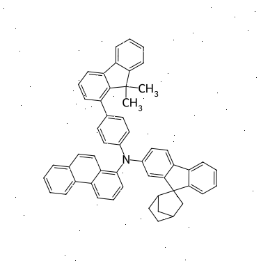 CC1(C)c2ccccc2-c2cccc(-c3ccc(N(c4ccc5c(c4)C4(CC6CCC4C6)c4ccccc4-5)c4cccc5c4ccc4ccccc45)cc3)c21